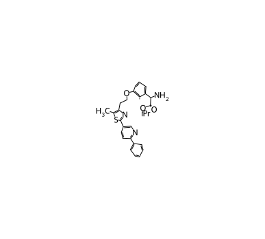 Cc1sc(-c2ccc(-c3ccccc3)nc2)nc1CCOc1[c]c(C(N)C(=O)OC(C)C)ccc1